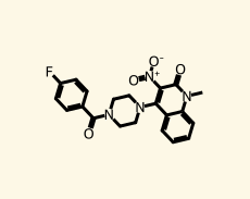 Cn1c(=O)c([N+](=O)[O-])c(N2CCN(C(=O)c3ccc(F)cc3)CC2)c2ccccc21